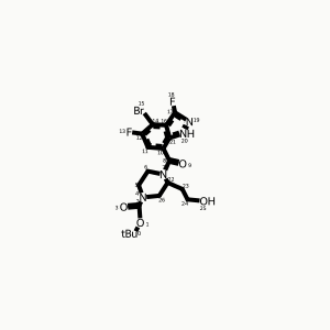 CC(C)(C)OC(=O)N1CCN(C(=O)c2cc(F)c(Br)c3c(F)n[nH]c23)C(CCO)C1